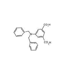 O=C(O)c1cc(C(=O)O)cc(N(Cc2ccccc2)Cc2ccccc2)c1